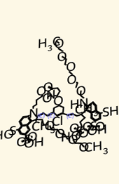 COCCOCCOCCOCCOCCNc1ccc2c(S)cc(S(=O)(=O)O)cc2c1C(C)(C/C=C/C1=C(Cl)C(=C/C=C2/N(CCCC(=O)ON3C(=O)CCC3=O)c3ccc4c(SO)cc(S(=O)(=O)O)cc4c3C2(C)CCOCCOCCOCCOC)/CCC1)CCCS(=O)(=O)O